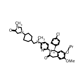 COc1cc2c(cc1OC(C)C)[C@H](c1ccc(Cl)cc1)N(c1ccc(N(C)CC3CCC(N4CC(=O)N(C)C4)CC3)cn1)C(=O)C2